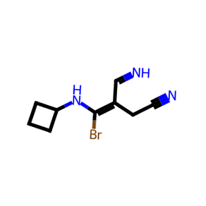 N#CC/C(C=N)=C(\Br)NC1CCC1